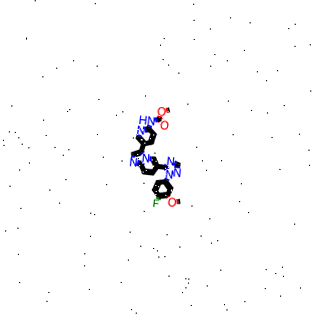 COC(=O)Nc1ccc(-c2cnc3ccc(-c4ncnn4-c4ccc(F)c(OC)c4)cn23)cn1